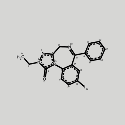 CCn1nc2n(c1=O)-c1ccc(I)cc1C(c1ccccc1)=NC2